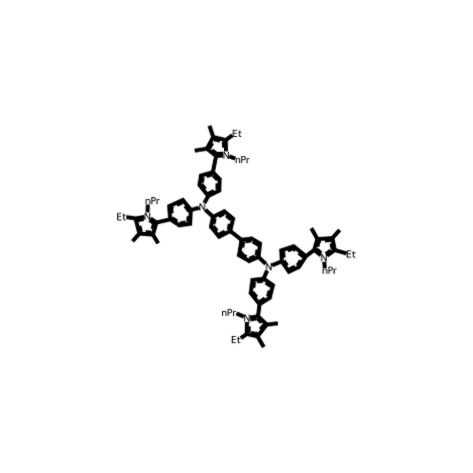 CCCn1c(CC)c(C)c(C)c1-c1ccc(N(c2ccc(-c3ccc(N(c4ccc(-c5c(C)c(C)c(CC)n5CCC)cc4)c4ccc(-c5c(C)c(C)c(CC)n5CCC)cc4)cc3)cc2)c2ccc(-c3c(C)c(C)c(CC)n3CCC)cc2)cc1